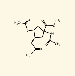 COC(=O)C1(NC(C)=O)C[C@H](OC(C)=O)[C@H](OC(C)=O)C1